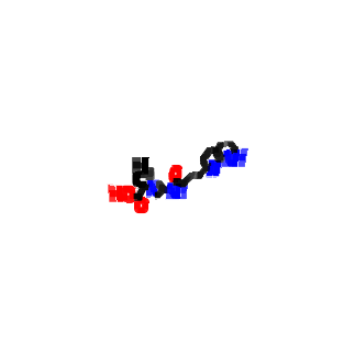 CC(C(=O)O)N1CC(NC(=O)CCCc2ccc3c(n2)NCCC3)C1